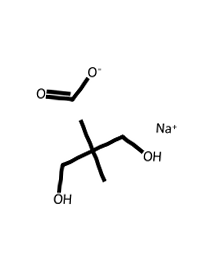 CC(C)(CO)CO.O=C[O-].[Na+]